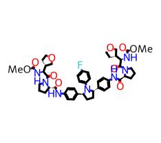 COC(=O)N[C@H](C(=O)N1CCC[C@H]1C(=O)Nc1ccc([C@@H]2CC[C@@H](c3ccc(NC(=O)[C@@H]4CCCN4C(=O)[C@@H](NC(=O)OC)[C@@H]4CCOC4)cc3)N2c2ccc(F)cc2)cc1)[C@@H]1CCOC1